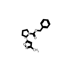 Cc1cc([C@@H]2CCCN2C(=O)OCc2ccccc2)on1